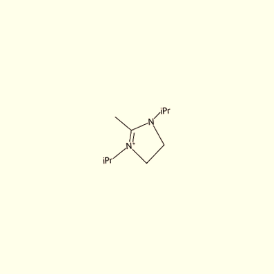 CC1=[N+](C(C)C)CCN1C(C)C